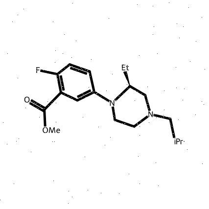 CC[C@H]1CN(C[C](C)C)CCN1c1ccc(F)c(C(=O)OC)c1